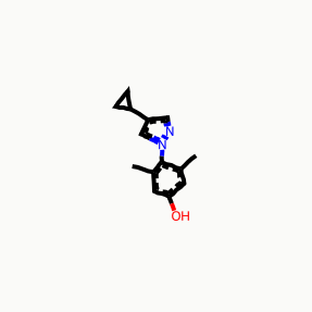 Cc1cc(O)cc(C)c1-n1cc(C2CC2)cn1